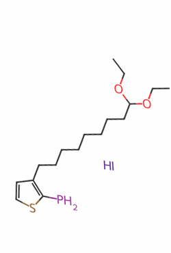 CCOC(CCCCCCCCc1ccsc1P)OCC.I